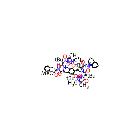 COC(=O)[C@H](Cc1ccccc1)NC(=O)[C@@H]1Cc2ccc([C@H]3C[C@@H](C(=O)N[C@@H]4CCCc5ccccc54)N(C(=O)[C@@H](NC(=O)[C@H](C)N(C)C(=O)OC(C)(C)C)C(C)(C)C)C3)cc2CN1C(=O)[C@@H](NC(=O)[C@H](C)N(C)C(=O)OC(C)(C)C)C(C)(C)C